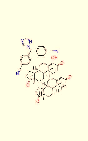 CC1=CC(=O)C=C2CC[C@@H]3[C@H](CC[C@]4(C)C(=O)CC[C@@H]34)[C@@]12C.C[C@]12CCC(=O)C(O)=C1CC[C@@H]1[C@@H]2CC[C@]2(C)C(=O)CC[C@@H]12.N#Cc1ccc(C(c2ccc(C#N)cc2)n2cncn2)cc1